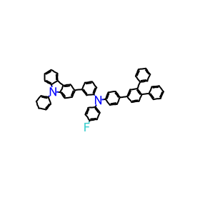 Fc1ccc(N(c2ccc(-c3ccc(-c4ccccc4)c(-c4ccccc4)c3)cc2)c2cccc(-c3ccc4c(c3)c3ccccc3n4C3=CCCC=C3)c2)cc1